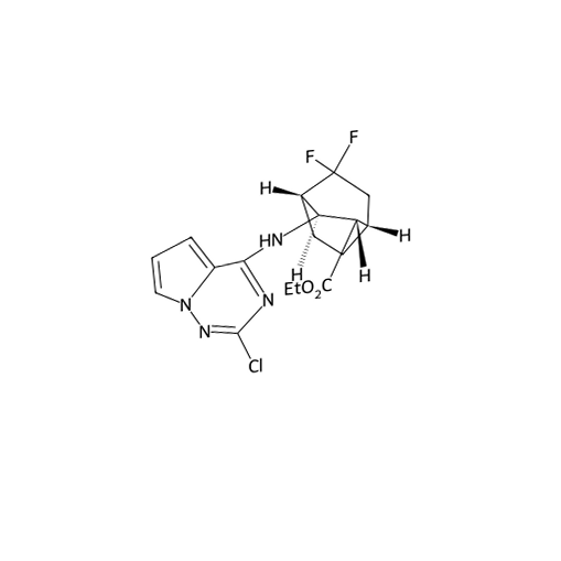 CCOC(=O)[C@H]1[C@H]2CC[C@@H]([C@@H]1Nc1nc(Cl)nn3cccc13)C(F)(F)C2